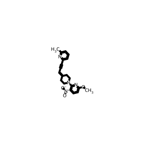 COc1ccc([N+](=O)[O-])c(N2CCC(=CC#Cc3cccc(C)n3)CC2)n1